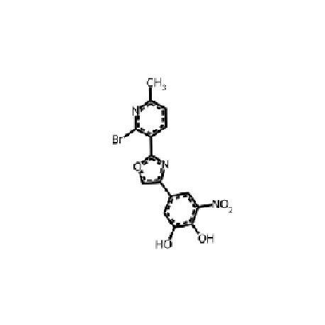 Cc1ccc(-c2nc(-c3cc(O)c(O)c([N+](=O)[O-])c3)co2)c(Br)n1